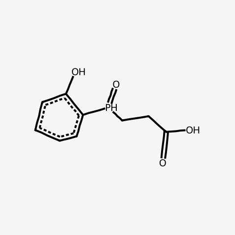 O=C(O)CC[PH](=O)c1ccccc1O